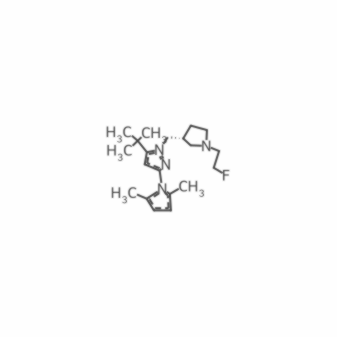 Cc1ccc(C)n1-c1cc(C(C)(C)C)n(C[C@@H]2CCN(CCF)C2)n1